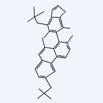 Cc1c2c(c(CC(C)(C)C)c3ccsc13)Sc1cc3ccc(CC(C)(C)C)cc3c3cc[n+](C)c-2c13